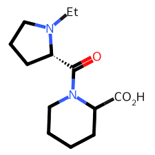 CCN1CCC[C@H]1C(=O)N1CCCCC1C(=O)O